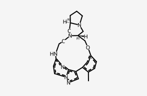 Cc1ccc2cc1-c1cnn3ccc(nc13)NCCN1C[C@H]3CCCN3C[C@@H]1CO2